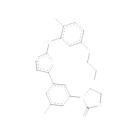 Cc1cc(-c2cnc(Nc3cc(OCCO)ccc3C)o2)cc(N2CCNC2=O)c1